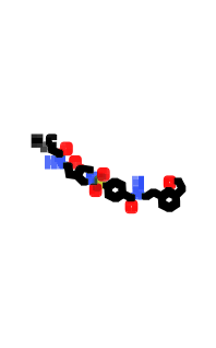 C=CC(=O)Nc1cc2c(o1)CN(S(=O)(=O)c1ccc(C(=O)NCCc3cccc4c3OCC4)cc1)C2